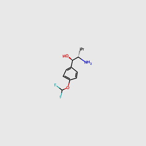 CC(C)[C@H](N)[C@H](O)c1ccc(OC(F)F)cc1